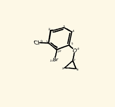 Clc1cccc(OC2CC2)c1Br